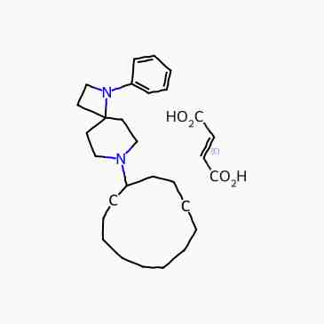 O=C(O)/C=C/C(=O)O.c1ccc(N2CCC23CCN(C2CCCCCCCCCCC2)CC3)cc1